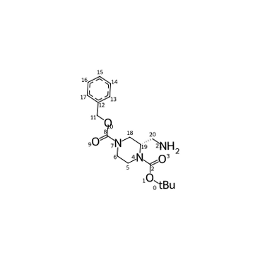 CC(C)(C)OC(=O)N1CCN(C(=O)OCc2ccccc2)C[C@@H]1CN